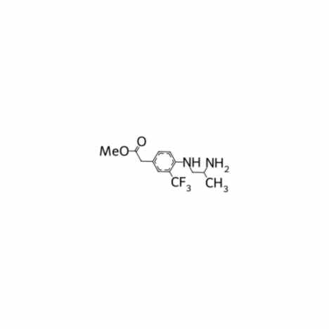 COC(=O)Cc1ccc(NCC(C)N)c(C(F)(F)F)c1